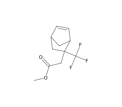 COC(=O)CC1(C(F)(F)F)CC2C=CC1C2